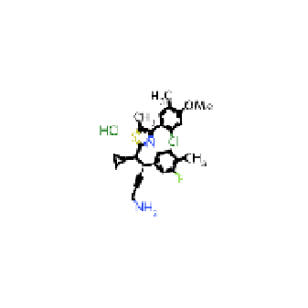 COc1cc(Cl)c(-c2nc(C(C3CC3)[C@H](C#CCN)c3ccc(C)c(F)c3)sc2C)cc1C.Cl